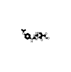 CC(C)Oc1ccc(Nc2nc3[nH]cc(C(=O)N=O)c(=O)n3n2)cc1